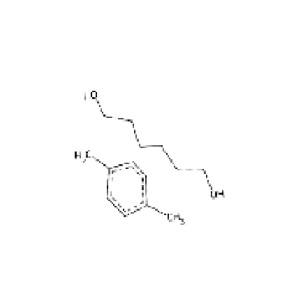 Cc1ccc(C)cc1.OCCCCCCO